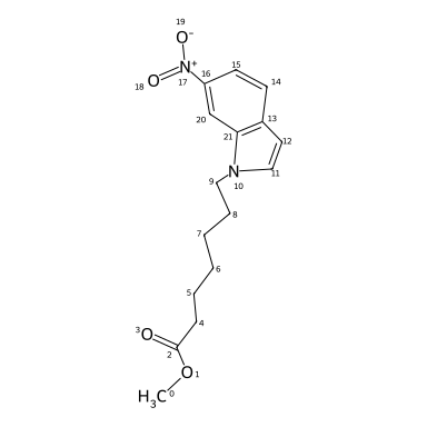 COC(=O)CCCCCCn1ccc2ccc([N+](=O)[O-])cc21